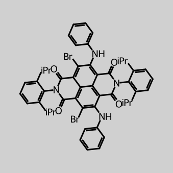 CC(C)c1cccc(C(C)C)c1N1C(=O)c2c(Br)c(Nc3ccccc3)c3c4c(c(Nc5ccccc5)c(Br)c(c24)C1=O)C(=O)N(c1c(C(C)C)cccc1C(C)C)C3=O